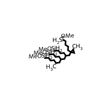 CO[SiH2]CCCCC(C)CC(CCCC[SiH2]OC)CC(CCCC[SiH2]OC)CC1(CCCC[SiH2]OC)CC1C